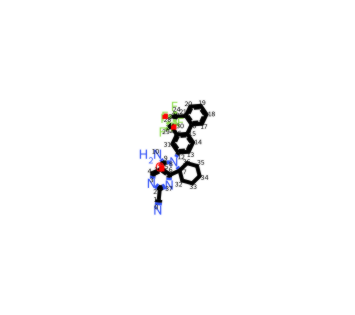 N#Cc1nccc(C2(N(C(N)=O)c3ccc(-c4ccccc4C(F)(F)F)c(C(F)(F)F)c3)CCCCC2)n1